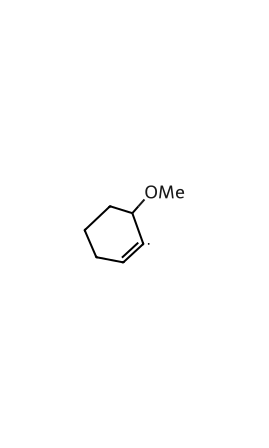 COC1[C]=CCCC1